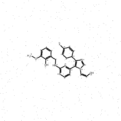 COc1cccc(CNc2nccc(-c3c(C4C=CC(F)=CC4)ncn3/C=C\O)n2)c1O